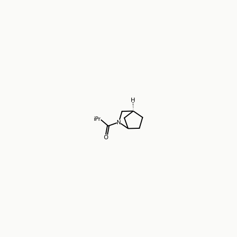 CC(C)C(=O)N1C[C@H]2CCC1C2